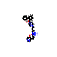 O=C(/C=C\c1cccnc1)NCCCCN1CCN(C(=O)c2ccccc2-c2ccccc2)CC1